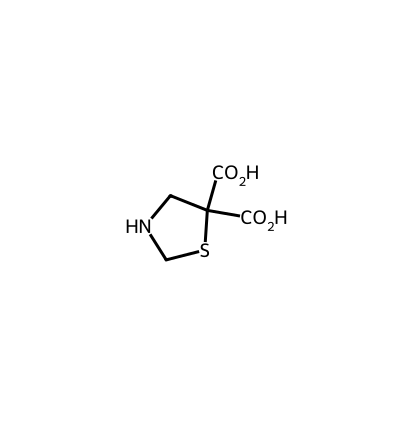 O=C(O)C1(C(=O)O)CNCS1